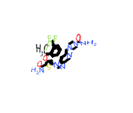 C[C@@H](Oc1cc(-n2cnc3cnc(CN4CCN(C(N)=O)CC4)cc32)sc1C(N)=O)c1ccccc1C(F)(F)F